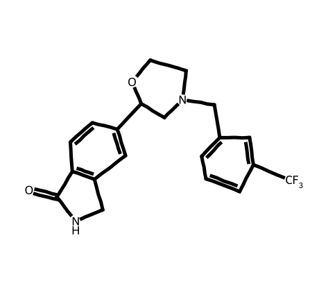 O=C1NCc2cc(C3CN(Cc4cccc(C(F)(F)F)c4)CCO3)ccc21